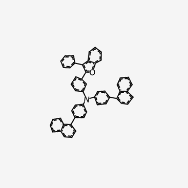 c1ccc(-c2c(-c3cccc(N(c4ccc(-c5cccc6ccccc56)cc4)c4ccc(-c5cccc6ccccc56)cc4)c3)oc3ccccc23)cc1